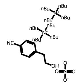 CCCC[N+](CCCC)(CCCC)CCCC.CCCC[N+](CCCC)(CCCC)CCCC.N#Cc1ccc(CCO)cc1.O=S(=O)([O-])[O-]